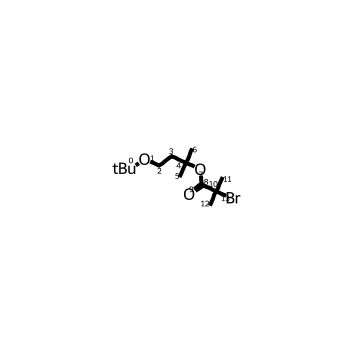 CC(C)(C)OCCC(C)(C)OC(=O)C(C)(C)Br